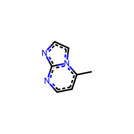 Cc1ccnc2nccn12